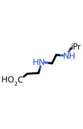 CC(C)NCCNCCC(=O)O